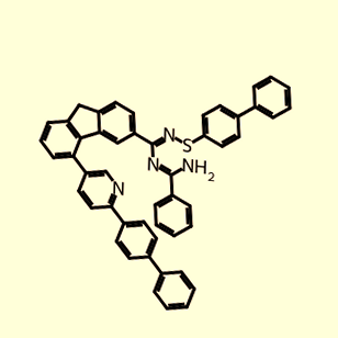 N/C(=N\C(=N/Sc1ccc(-c2ccccc2)cc1)c1ccc2c(c1)-c1c(cccc1-c1ccc(-c3ccc(-c4ccccc4)cc3)nc1)C2)c1ccccc1